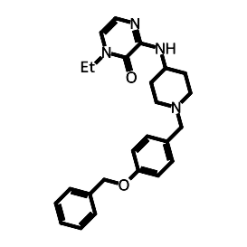 CCn1ccnc(NC2CCN(Cc3ccc(OCc4ccccc4)cc3)CC2)c1=O